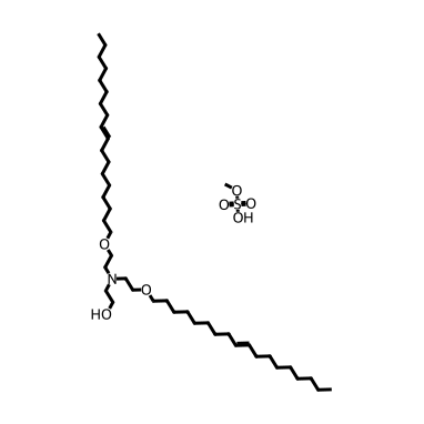 CCCCCCCCC=CCCCCCCCCOCCN(CCO)CCOCCCCCCCCC=CCCCCCCCC.COS(=O)(=O)O